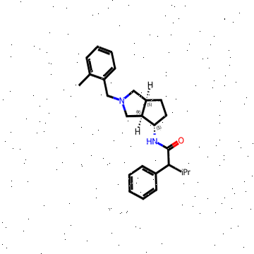 Cc1ccccc1CN1C[C@H]2CC[C@H](NC(=O)C(c3ccccc3)C(C)C)[C@H]2C1